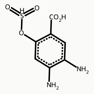 Nc1cc(O[SH](=O)=O)c(C(=O)O)cc1N